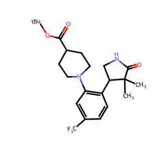 CC(C)(C)OC(=O)C1CCN(c2cc(C(F)(F)F)ccc2C2CNC(=O)C2(C)C)CC1